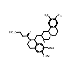 CCC1CN2CCc3cc(C)c(C)cc3C2CC1CC1c2cc(OC)c(OC)cc2CCN1C(=O)CCC(=O)O